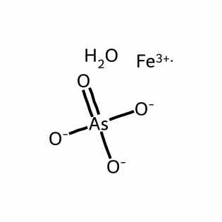 O.O=[As]([O-])([O-])[O-].[Fe+3]